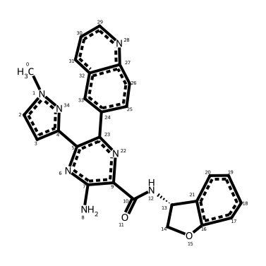 Cn1ccc(-c2nc(N)c(C(=O)N[C@H]3COc4ccccc43)nc2-c2ccc3ncccc3c2)n1